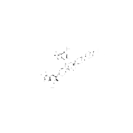 Cc1cc(C[C@@H](NC(=O)N2CCC(c3cc4c([nH]c3=O)OCC4(C)C)CC2)C(=O)N2CCN(C3CCN(C)CC3)CC2)cc2cn[nH]c12